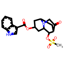 CS(=O)(=O)OC1C2CC3CC(OC(=O)c4c[nH]c5ccccc45)CC1N3CC2=O